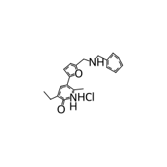 CCc1cc(-c2ccc(CNCc3ccccc3)o2)c(C)[nH]c1=O.Cl